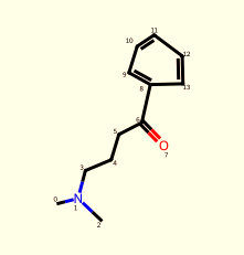 CN(C)CCCC(=O)c1ccccc1